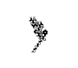 COCCOCCOCCOC(=O)[C@H](Cc1ccccc1)NC(=O)[C@H](C)[C@@H](OC)[C@@H]1CCCN1C(=O)C[C@@H](OC)[C@H](C(C)C)N(C)C(=O)[C@@H](NC(=O)[C@H](C(C)C)N(C)C)C(C)C